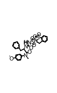 COc1ccc(N(C)C(=O)C(Cc2ccccc2)NC(=O)NS(=O)(=O)N2Cc3ccccc3S2(=O)=O)cc1